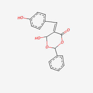 O=C1OC(c2ccccc2)OC(O)/C1=C\c1ccc(O)cc1